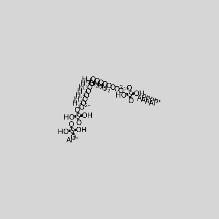 O.O.O.O.O.O.O.O.O.O.O.O.O=S(=O)(O)O.O=S(=O)(O)O.O=S(=O)(O)O.[Al+3].[Al+3].[Al+3].[Al+3].[Al+3].[O-2].[O-2].[O-2]